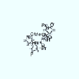 COc1cc(-c2cc(F)cc(C(C)C)c2NC(=O)CNS(=O)(=O)c2ccc(=O)n(C(C)C)c2)ccn1